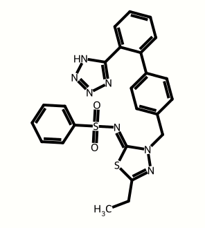 CCc1nn(Cc2ccc(-c3ccccc3-c3nnn[nH]3)cc2)c(=NS(=O)(=O)c2ccccc2)s1